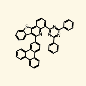 c1ccc(-c2nc(-c3ccccc3)nc(-c3cccc4c3nc(-c3ccc5c6ccccc6c6ccccc6c5c3)c3c5ccccc5sc43)n2)cc1